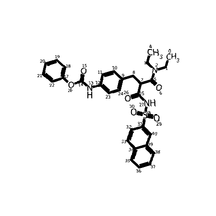 CCN(CC)C(=O)C(Cc1ccc(NC(=O)Oc2ccccc2)cc1)C(=O)NS(=O)(=O)c1ccc2ccccc2c1